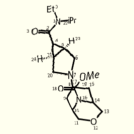 CCN(C(=O)C1[C@H]2CN(C3CC4COCC(C3)N4C(=O)OC)C[C@@H]12)C(C)C